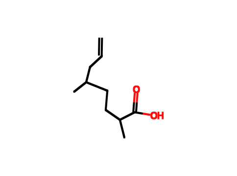 C=CCC(C)CCC(C)C(=O)O